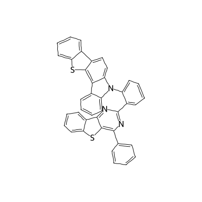 c1ccc(-c2nc(-c3ccccc3-n3c4ccccc4c4c5sc6ccccc6c5ccc43)nc3c2sc2ccccc23)cc1